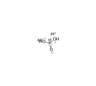 O=[PH](O)O.[H+].[H+]